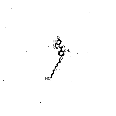 Cc1cc(OCCCCCOCCCCO)ccc1C(=O)N(C=O)C1CCC(=O)NC1=O